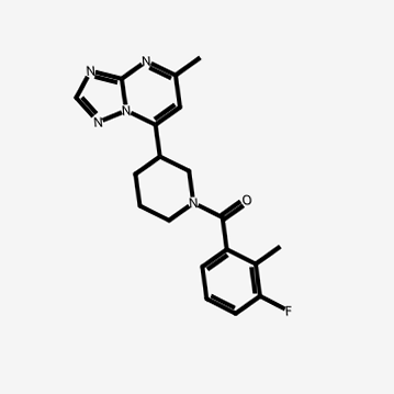 Cc1cc(C2CCCN(C(=O)c3cccc(F)c3C)C2)n2ncnc2n1